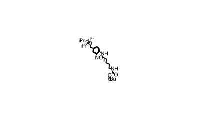 CC(C)[Si](OCc1ccc(NCCCCCNC(=O)OC(C)(C)C)c([N+](=O)[O-])c1)(C(C)C)C(C)C